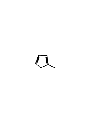 IC1=CC=CC1